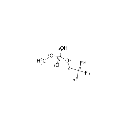 COP(=O)(O)OCC(F)(F)F